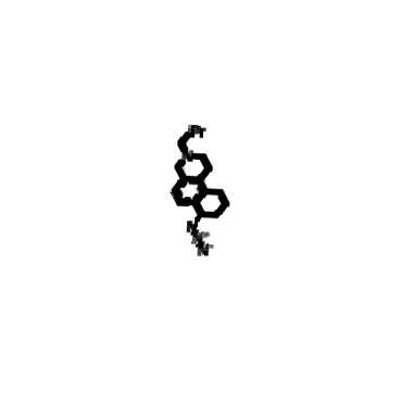 CC(C)CN1CCc2c(ccc3c2CCC[C@H]3N=[N+]=[N-])C1